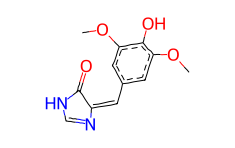 COc1cc(C=C2N=CNC2=O)cc(OC)c1O